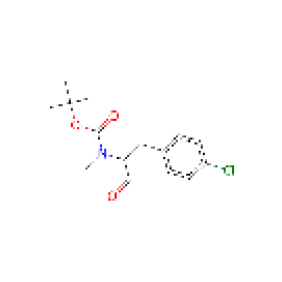 CN(C(=O)OC(C)(C)C)C(C=O)Cc1ccc(Cl)cc1